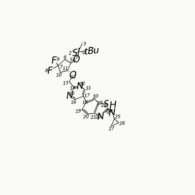 CC(C)(C)[Si](C)(C)O[C@@H]1CC(F)(F)C[C@H]1OCc1ncc(-c2ccc3nc(NC4CC4)sc3c2)cn1